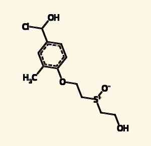 Cc1cc(C(O)Cl)ccc1OCC[S+]([O-])CCO